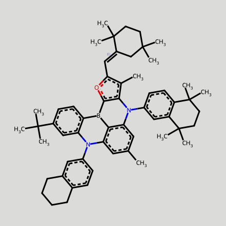 Cc1cc2c3c(c1)N(c1ccc4c(c1)C(C)(C)CCC4(C)C)c1c(oc(/C=C4\CC(C)(C)CCC4(C)C)c1C)B3c1ccc(C(C)(C)C)cc1N2c1ccc2c(c1)CCCC2